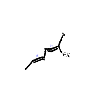 C/C=C/C=C(/Br)CC